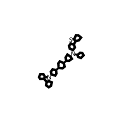 c1ccc(N(c2ccc(-c3ccc(-c4ccc(-n5c6ccccc6c6ccccc65)cc4)cc3)cc2)c2ccc3sc4ccccc4c3c2)cc1